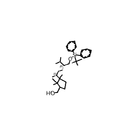 CC(C)[C@@H](CC[C@H](C)C1(C)CCC(CO)C1(C)C)CO[Si](c1ccccc1)(c1ccccc1)C(C)(C)C